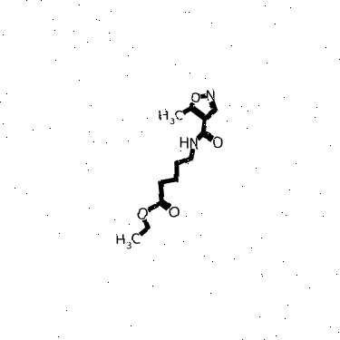 CCOC(=O)CCCCNC(=O)c1cnoc1C